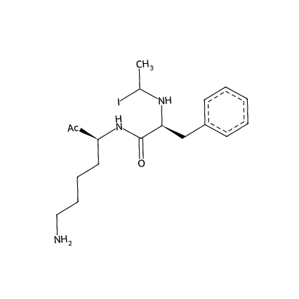 CC(=O)[C@H](CCCCN)NC(=O)[C@H](Cc1ccccc1)NC(C)I